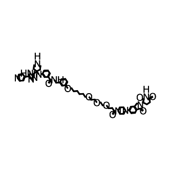 O=C1CCC(N2Cc3cc(N4CCN(C(=O)CCOCCOCCOCCCCCCOc5cccc(CNC(=O)c6cccc(NC7(c8nnc(-c9ccncc9)[nH]8)CCNCC7)c6)c5)CC4)ccc3C2=O)C(=O)N1